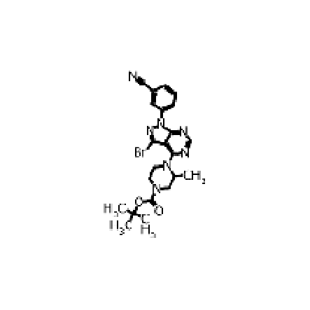 C[C@H]1CN(C(=O)OC(C)(C)C)CCN1c1ncnc2c1c(Br)nn2-c1cccc(C#N)c1